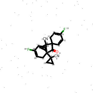 N#CC1(C2(C(=O)C3(C4(C#N)CC4)C=CC(F)=CC3)C=CC(F)=CC2)CC1